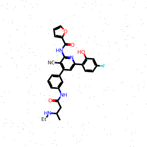 CCNC(C)CC(=O)Nc1cccc(-c2cc(-c3ccc(F)cc3O)nc(NC(=O)c3ccco3)c2C#N)c1